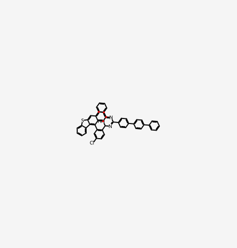 Clc1ccc(C2N=C(c3ccc(-c4ccc(-c5ccccc5)cc4)cc3)N=C(c3ccccc3)N2)c(-c2c3ccccc3cc3sc4ccccc4c23)c1